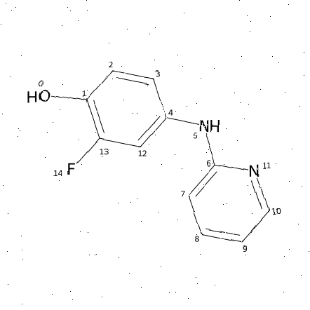 Oc1ccc(Nc2ccccn2)cc1F